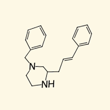 C(=C\c1ccccc1)/CC1CN(Cc2ccccc2)CCN1